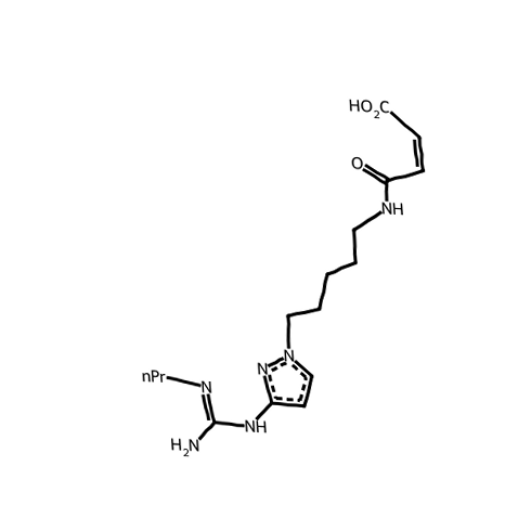 CCCN=C(N)Nc1ccn(CCCCCNC(=O)/C=C\C(=O)O)n1